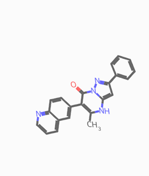 Cc1[nH]c2cc(-c3ccccc3)nn2c(=O)c1-c1ccc2ncccc2c1